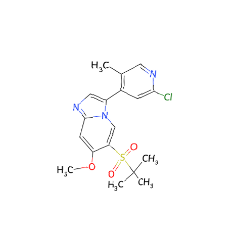 COc1cc2ncc(-c3cc(Cl)ncc3C)n2cc1S(=O)(=O)C(C)(C)C